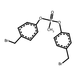 CP(=O)(Oc1ccc(CBr)cc1)Oc1ccc(CBr)cc1